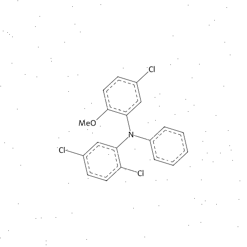 COc1ccc(Cl)cc1N(c1ccccc1)c1cc(Cl)ccc1Cl